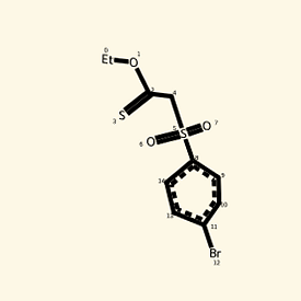 CCOC(=S)CS(=O)(=O)c1ccc(Br)cc1